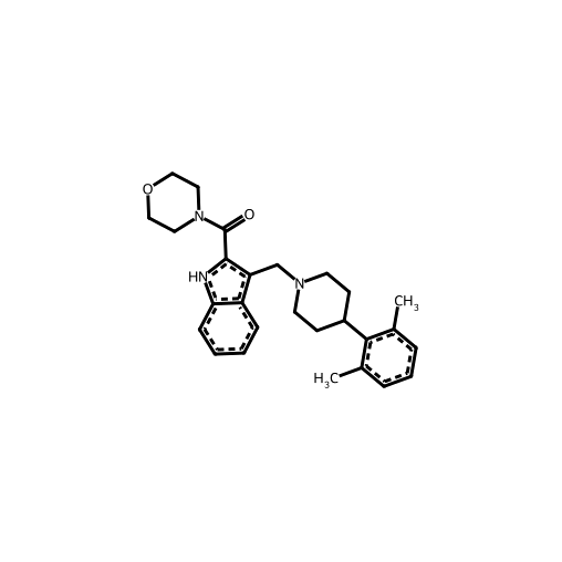 Cc1cccc(C)c1C1CCN(Cc2c(C(=O)N3CCOCC3)[nH]c3ccccc23)CC1